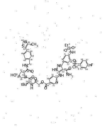 CCS(=O)(=O)Nc1ccc(-c2n[nH]c(Nc3ccc(C(=O)OCC(=O)N[C@H](C(=O)N4C[C@H](O)C[C@H]4C(=O)NCc4ccc(-c5scnc5C)cc4)C(C)(C)C)cn3)c2C(N)=O)cc1O[C@@H](C)c1ccc(F)cc1